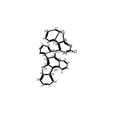 Clc1nc(-n2c3ccccc3c3c4sc5ccccc5c4c4ccccc4c32)c2c(n1)oc1ccccc12